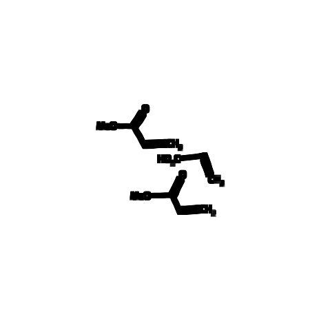 C=CC(=O)O.C=CC(=O)OC.C=CC(=O)OC